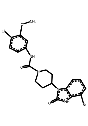 COc1cc(NC(=O)N2CCC(n3c(=O)[nH]c4c(Br)cccc43)CC2)ccc1Cl